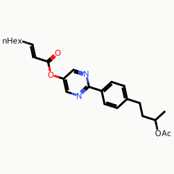 CCCCCC/C=C/C(=O)Oc1cnc(-c2ccc(CCC(C)OC(C)=O)cc2)nc1